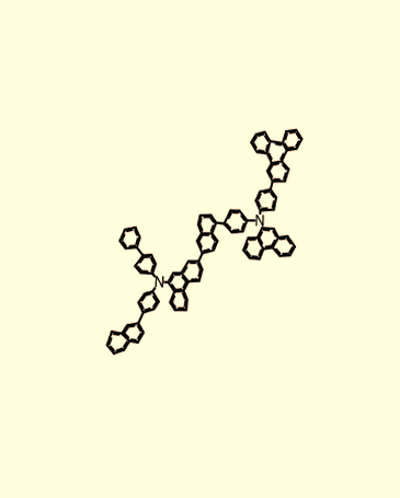 c1ccc(-c2ccc(N(c3ccc(-c4ccc5ccccc5c4)cc3)c3cc4cc(-c5ccc6c(-c7ccc(N(c8ccc(-c9ccc%10c%11ccccc%11c%11ccccc%11c%10c9)cc8)c8cc9ccccc9c9ccccc89)cc7)cccc6c5)ccc4c4ccccc34)cc2)cc1